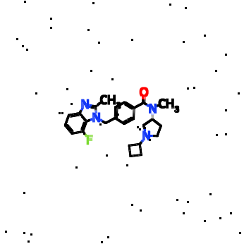 Cc1nc2cccc(F)c2n1Cc1ccc(C(=O)N(C)[C@@H]2CCN(C3CCC3)C2)cc1